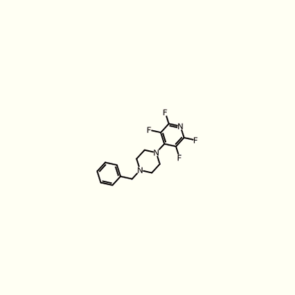 Fc1nc(F)c(F)c(N2CCN(Cc3ccccc3)CC2)c1F